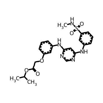 CNS(=O)(=O)c1cccc(Nc2cc(Nc3cccc(OCC(=O)OC(C)C)c3)ncn2)c1